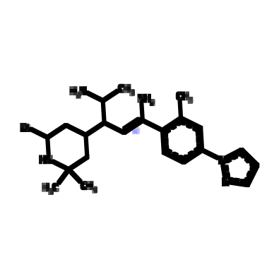 CCC1CC(C(/C=C(\N)c2ccc(-n3cccn3)cc2C)C(C)N)CC(C)(C)N1